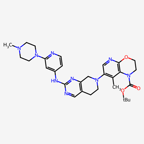 Cc1c(N2CCc3cnc(Nc4ccnc(N5CCN(C)CC5)c4)nc3C2)cnc2c1N(C(=O)OC(C)(C)C)CCO2